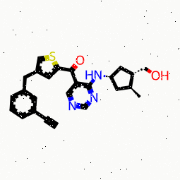 C#Cc1cccc(Cc2csc(C(=O)c3cncnc3N[C@@H]3C[C@H](CO)[C@@H](C)C3)c2)c1